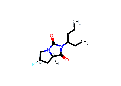 CCCC(CC)N1C(=O)[C@H]2C[C@H](F)CN2C1=O